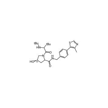 Cc1ncsc1-c1ccc(CNC(=O)C2C[C@@H](O)CN2C(=O)C(NC(C)(C)C)C(C)(C)C)cc1